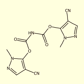 Cn1ncc(C#N)c1OC(=O)NC(=O)Oc1c(C#N)cnn1C